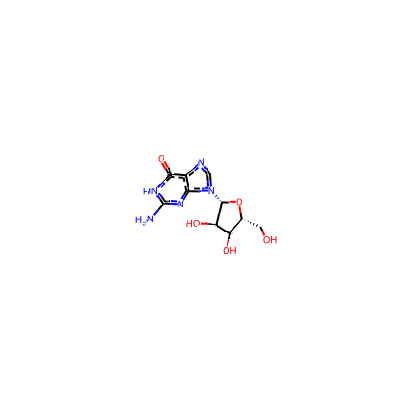 Nc1nc2c(ncn2[C@@H]2O[C@H](CO)[C](O)[C@H]2O)c(=O)[nH]1